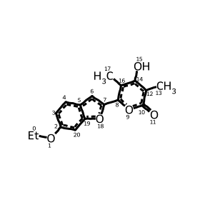 CCOc1ccc2cc(-c3oc(=O)c(C)c(O)c3C)oc2c1